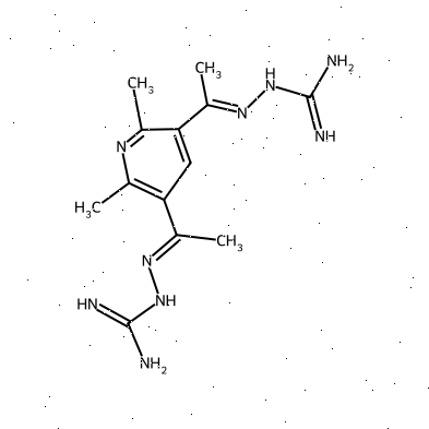 C/C(=N\NC(=N)N)c1cc(/C(C)=N/NC(=N)N)c(C)nc1C